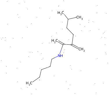 C=C(CCC(C)C)C(=C)NCCCCC